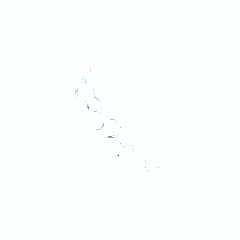 CC(=O)NC[C@H]1CN(c2ccc(-n3cc4c(c3)CN(O)C=C4)c(F)c2)C(=O)O1